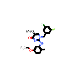 COc1cn(Cc2cc(F)cc(Cl)c2)c(Nc2cc(OCC(F)(F)F)ccc2C)nc1=O